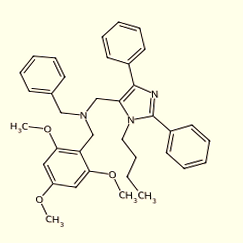 CCCCn1c(-c2ccccc2)nc(-c2ccccc2)c1CN(Cc1ccccc1)Cc1c(OC)cc(OC)cc1OC